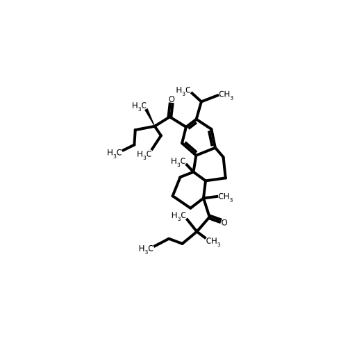 CCCC(C)(C)C(=O)C1(C)CCCC2(C)c3cc(C(=O)[C@](C)(CC)CCC)c(C(C)C)cc3CCC12